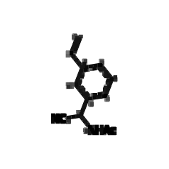 [CH]=Cc1cccc(C(C#N)NC(C)=O)c1